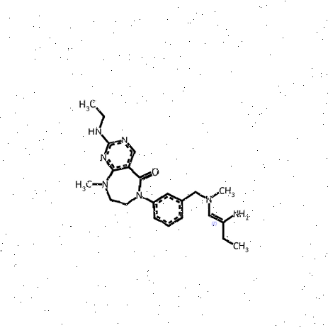 CCNc1ncc2c(n1)N(C)CCN(c1cccc(CN(C)/C=C(\N)CC)c1)C2=O